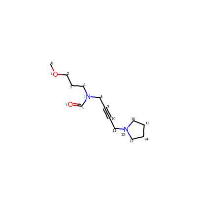 COCCCN(C=O)CC#CCN1CCCC1